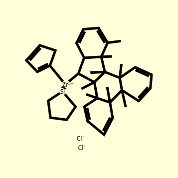 CC1=CC=CC2[CH]([Zr+2]([C]3=CC=CC3)=[Si]3CCCC3)C3(C)C4(C)C=CC=CC4(C)C4(C)C=CC=CC4(C)C3(C)C12C.[Cl-].[Cl-]